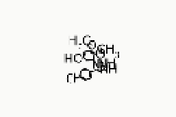 COc1cc(O)cc(N2NNC=C2c2ccc(Cl)cc2)c1OC